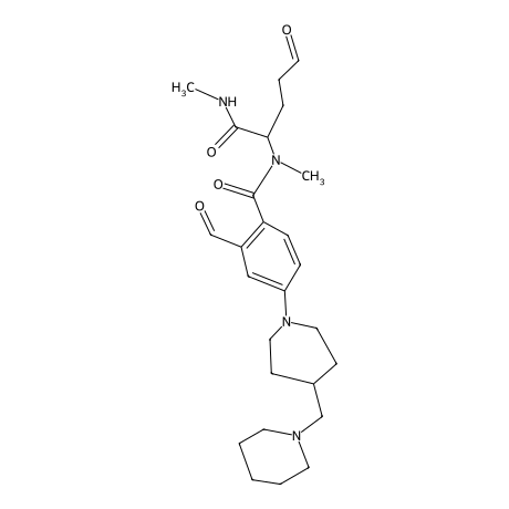 CNC(=O)C(CCC=O)N(C)C(=O)c1ccc(N2CCC(CN3CCCCC3)CC2)cc1C=O